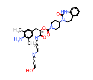 Cc1cc(C[C@@H](OC(=O)N2CCC(N3CCc4ccccc4NC3=O)CC2)C(=O)N=C=C=CN=C=C=CO)cc(C)c1N